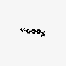 CC[C@H]1CC[C@H]([C@H]2CC[C@H](c3ccc(OC(F)(F)C(F)(F)F)cc3)CC2)CC1